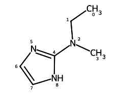 CCN(C)c1ncc[nH]1